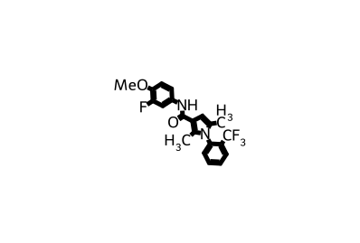 COc1ccc(NC(=O)c2cc(C)n(-c3ccccc3C(F)(F)F)c2C)cc1F